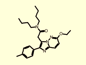 CCCCN(CCCC)C(=O)Cc1c(-c2ccc(C)cc2)nc2ccc(OCC)nn12